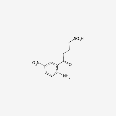 Nc1ccc([N+](=O)[O-])cc1C(=O)CCCS(=O)(=O)O